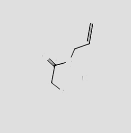 C=CCOC(=O)CC(C)=O.Cl